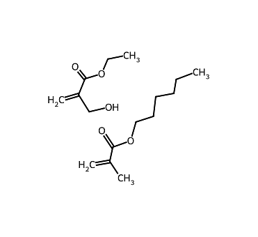 C=C(C)C(=O)OCCCCCC.C=C(CO)C(=O)OCC